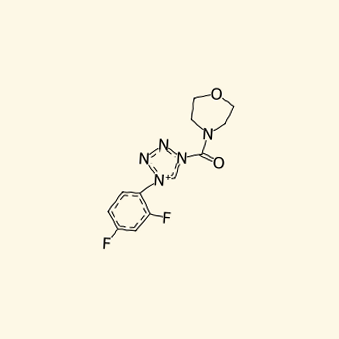 O=C(N1CCOCC1)n1c[n+](-c2ccc(F)cc2F)nn1